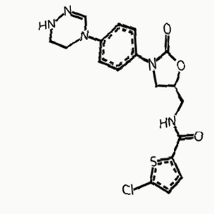 O=C(NC[C@H]1CN(c2ccc(N3C=NNCC3)cc2)C(=O)O1)c1ccc(Cl)s1